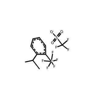 CC(C)c1ccccc1[I+](F)(F)(F)(F)F.O=S(=O)([O-])C(F)(F)F